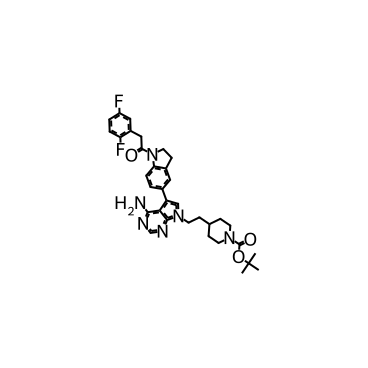 CC(C)(C)OC(=O)N1CCC(CCn2cc(-c3ccc4c(c3)CCN4C(=O)Cc3cc(F)ccc3F)c3c(N)ncnc32)CC1